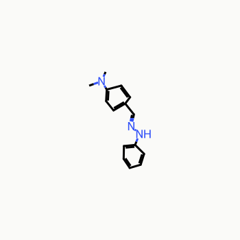 CN(C)c1ccc(C=NNc2ccccc2)cc1